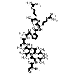 CC(C)C[C@H](NC(=O)[C@H](CC(C)C)NC(=O)[C@H](CC(C)C)NC(=O)[C@@H](N)CS)C(=O)N[C@@H](CO)C(=O)N[C@@H](C)C(=O)N1CCC[C@H]1C(=O)N[C@@H](CCCN=C(N)N)C(=O)N[C@@H](CCCN=C(N)N)C(=O)O